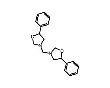 c1ccc(C2CN(CN3COC(c4ccccc4)C3)CO2)cc1